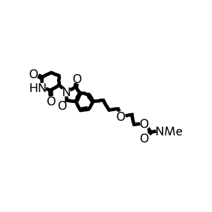 CNC(=O)OCCOCCCc1ccc2c(c1)C(=O)N(C1CCC(=O)NC1=O)C2=O